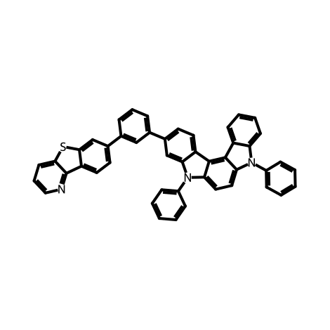 c1ccc(-n2c3ccccc3c3c4c5ccc(-c6cccc(-c7ccc8c(c7)sc7cccnc78)c6)cc5n(-c5ccccc5)c4ccc32)cc1